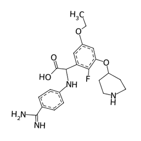 CCOc1cc(OC2CCNCC2)c(F)c(C(Nc2ccc(C(=N)N)cc2)C(=O)O)c1